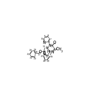 C[C@H](N)C(=O)N(c1ccccn1)[C@@H](CC(=O)OCc1ccccc1)Cc1ccccc1